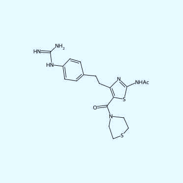 CC(=O)Nc1nc(CCc2ccc(NC(=N)N)cc2)c(C(=O)N2CCSCC2)s1